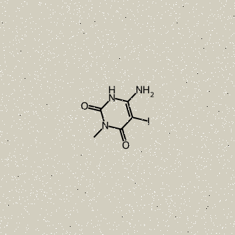 Cn1c(=O)[nH]c(N)c(I)c1=O